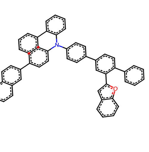 c1ccc(-c2ccc(-c3ccc(N(c4ccc(-c5ccc6ccccc6c5)cc4)c4ccccc4-c4ccccc4)cc3)cc2-c2cc3ccccc3o2)cc1